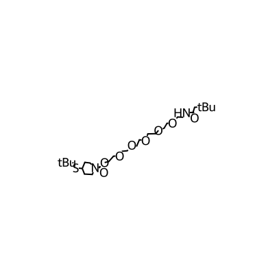 CC(C)(C)CC(=O)NCCOCCOCCOCCOCCOCCOC(=O)N1CCC(SC(C)(C)C)CC1